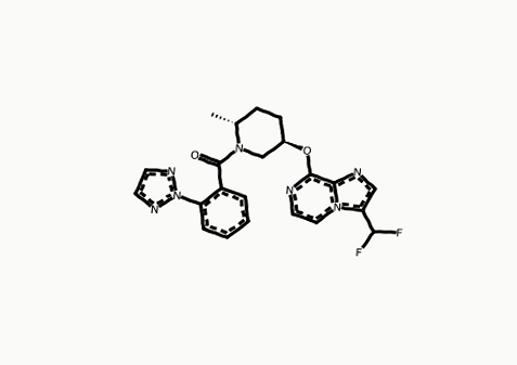 C[C@@H]1CC[C@@H](Oc2nccn3c(C(F)F)cnc23)CN1C(=O)c1ccccc1-n1nccn1